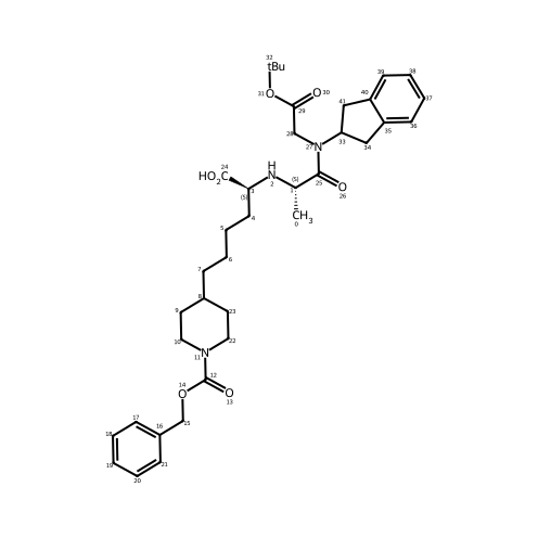 C[C@H](N[C@@H](CCCCC1CCN(C(=O)OCc2ccccc2)CC1)C(=O)O)C(=O)N(CC(=O)OC(C)(C)C)C1Cc2ccccc2C1